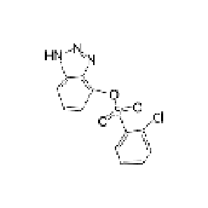 O=S(=O)(Oc1cccc2[nH]nnc12)c1ccccc1Cl